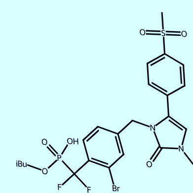 CCC(C)OP(=O)(O)C(F)(F)c1ccc(Cn2c(-c3ccc(S(C)(=O)=O)cc3)cn(C)c2=O)cc1Br